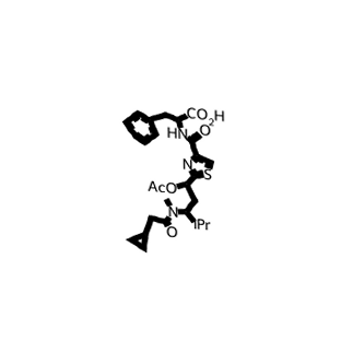 CC(=O)OC(CC(C(C)C)N(C)C(=O)CC1CC1)c1nc(C(=O)NC(Cc2ccccc2)C(=O)O)cs1